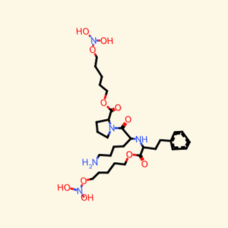 NCCCCC(NC(CCc1ccccc1)C(=O)OCCCCCON(O)O)C(=O)N1CCCC1C(=O)OCCCCCON(O)O